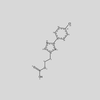 O=C(O)OCCc1nc(-c2ccc(Cl)cc2)no1